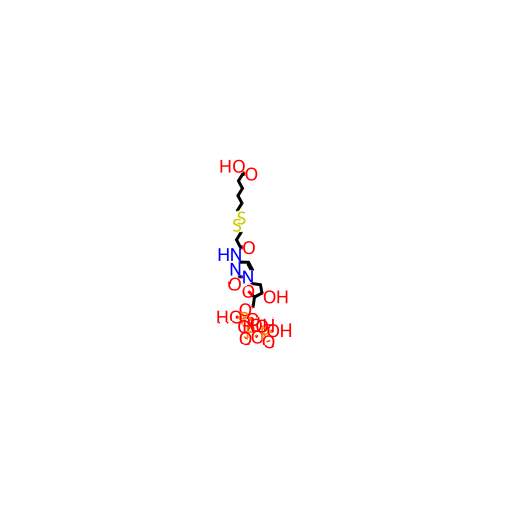 O=C(O)CCCCCSSCCC(=O)Nc1ccn(C2CC(O)C(COP(=O)(O)OP(=O)(O)OP(=O)(O)O)O2)c(=O)n1